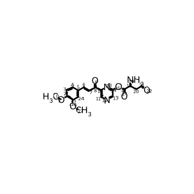 COc1ccc(C=CC(=O)c2cncc(OC(=O)C(N)CC=O)n2)cc1OC